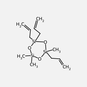 C=CC[Si]1(C)O[Si](C)(C)O[Si](CC=C)(CC=C)O1